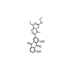 CCOC(=O)CC(C(=O)OCC)N(C)C(=O)c1cc(O)c2c(c1)C(=O)c1cccc(O)c1C2=O